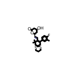 Cc1cc(C2=C(/C=C/[C@@H]3C[C@@H](O)CC(=O)O3)C(C)(C)CC3(C2)SCCCS3)ccc1F